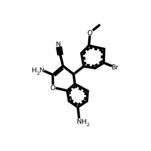 COc1cc(Br)cc(C2C(C#N)=C(N)Oc3cc(N)ccc32)c1